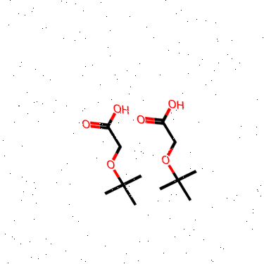 CC(C)(C)OCC(=O)O.CC(C)(C)OCC(=O)O